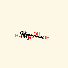 CC(C)(O)C(C)(C)CCCC(O)CCC(O)CCCCCO